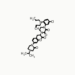 C=CCN(CC=C)c1ccc(Cl)cc1N1CCN(C(Cc2ccc(N3CCN(C(C)C)CC3=O)cc2)C(=O)O)C(=O)C1=O